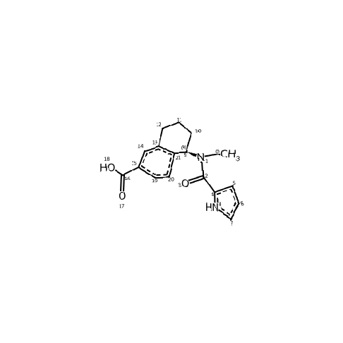 CN(C(=O)c1ccc[nH]1)[C@@H]1CCCc2cc(C(=O)O)ccc21